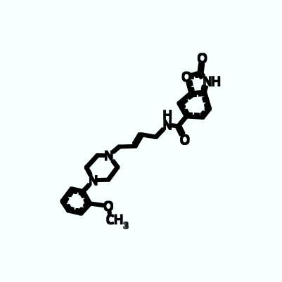 COc1ccccc1N1CCN(C/C=C/CNC(=O)c2ccc3[nH]c(=O)oc3c2)CC1